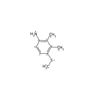 CSc1ccc(N)c(C)c1C